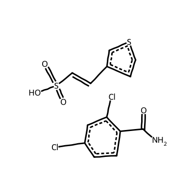 NC(=O)c1ccc(Cl)cc1Cl.O=S(=O)(O)/C=C/c1ccsc1